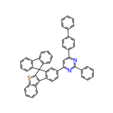 c1ccc(-c2ccc(-c3cc(-c4ccc5c(c4)C4(c6ccccc6-c6ccccc64)c4sc6ccccc6c4-5)nc(-c4ccccc4)n3)cc2)cc1